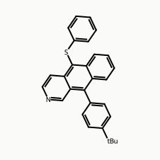 CC(C)(C)c1ccc(-c2c3ccccc3c(Sc3ccccc3)c3ccncc23)cc1